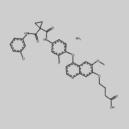 COc1cc2c(Oc3ccc(NC(=O)C4(C(=O)Nc5cccc(Cl)c5)CC4)cc3F)ccnc2cc1OCCCC(=O)O.N